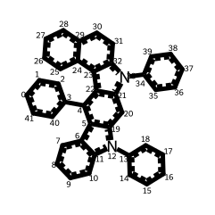 c1ccc(-c2c3c4ccccc4n(-c4ccccc4)c3cc3c2c2c4ccccc4ccc2n3-c2ccccc2)cc1